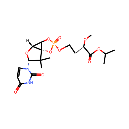 CO[C@@H](CCO[P@]1(=O)OC2[C@H]3O[C@@H](n4ccc(=O)[nH]c4=O)C(C)(C)[C@]23O1)C(=O)OC(C)C